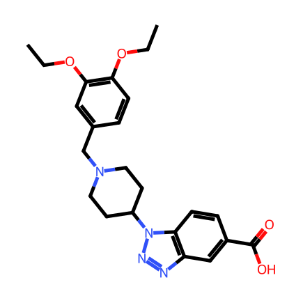 CCOc1ccc(CN2CCC(n3nnc4cc(C(=O)O)ccc43)CC2)cc1OCC